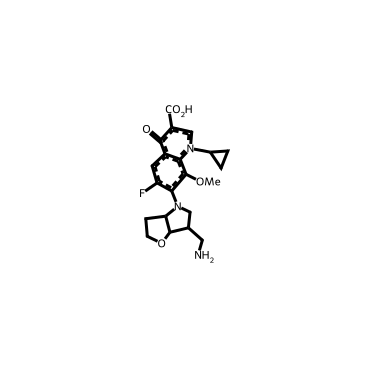 COc1c(N2CC(CN)C3OCCC32)c(F)cc2c(=O)c(C(=O)O)cn(C3CC3)c12